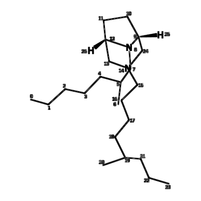 CCCCCC(C)CN1[C@@H]2CC[C@H]1CN(CCCCC(C)CCC)C2